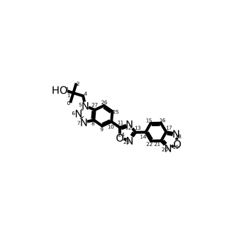 CC(C)(O)Cn1nnc2cc(-c3nc(-c4ccc5nonc5c4)no3)ccc21